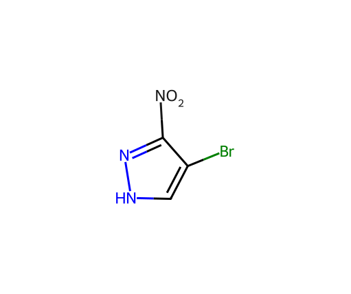 O=[N+]([O-])c1n[nH]cc1Br